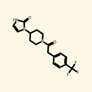 O=C(Cc1ccc(C(F)(F)F)cc1)N1CCC(n2cc[nH]c2=O)CC1